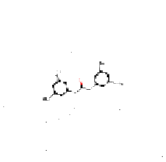 CC(C)(C)c1cc(CC(=O)Cc2cc(C(C)(C)C)cc(C(C)(C)C)c2)cc(C(C)(C)C)c1